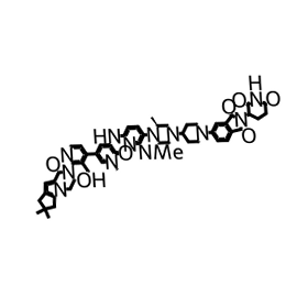 CNc1nc(Nc2cc(-c3ccnc(N4CCn5c(cc6c5CC(C)(C)C6)C4=O)c3CO)cn(C)c2=O)ccc1N1CCN(C2CCN(c3ccc4c(c3)C(=O)N(C3CCC(=O)NC3=O)C4=O)CC2)C[C@@H]1C